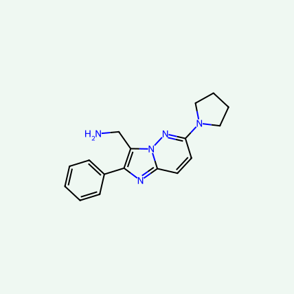 NCc1c(-c2ccccc2)nc2ccc(N3CCCC3)nn12